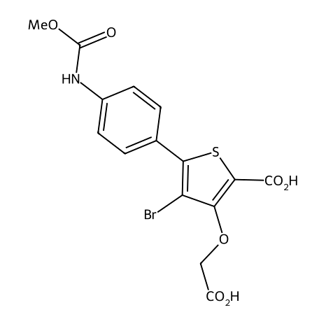 COC(=O)Nc1ccc(-c2sc(C(=O)O)c(OCC(=O)O)c2Br)cc1